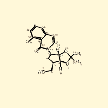 CC1(C)O[C@@H]2[C@@H](CO)C[C@@H](n3cnc4cccc(Cl)c4c3=O)[C@@H]2O1